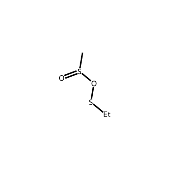 CCSOS(C)=O